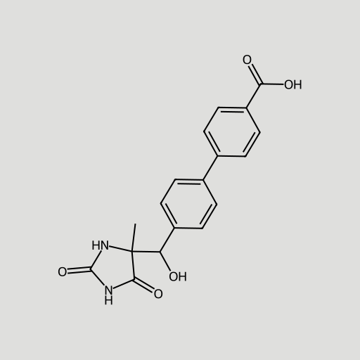 CC1(C(O)c2ccc(-c3ccc(C(=O)O)cc3)cc2)NC(=O)NC1=O